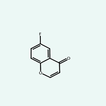 O=c1ccoc2ccc(F)cc12